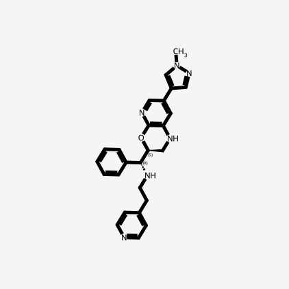 Cn1cc(-c2cnc3c(c2)NC[C@@H]([C@H](NCCc2ccncc2)c2ccccc2)O3)cn1